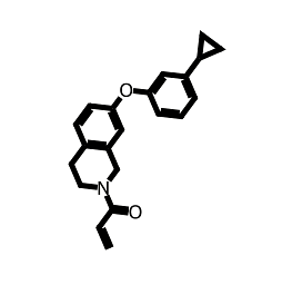 C=CC(=O)N1CCc2ccc(Oc3cccc(C4CC4)c3)cc2C1